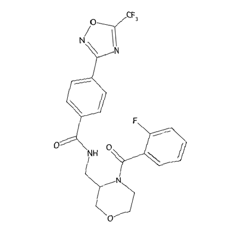 O=C(NCC1COCCN1C(=O)c1ccccc1F)c1ccc(-c2noc(C(F)(F)F)n2)cc1